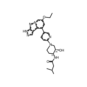 CCOc1cc(-c2ccc(N3CC[C@H](NC(=O)CC(C)C)[C@H](O)C3)nc2)c2c3cn[nH]c3nn2c1